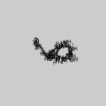 CC[C@H](C)[C@@H]1NC(=O)CNC(=O)[C@H]2Cc3c([nH]c4c(CN5CC[C@@H](CNC(=O)CCCCCN6C(=O)C=CC6=O)C5)c(O)ccc34)SC[C@H](NC(=O)CNC1=O)C(=O)N[C@@H](CC(N)=O)C(=O)N1C[C@H](O)C[C@H]1C(=O)N[C@@H]([C@@H](C)[C@@H](O)CO)C(=O)N2